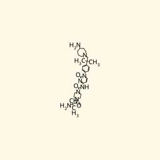 CC(C)(N)C(=O)N1CCN(C(=O)Nc2ccn(-c3ccc(C(C)(C)CN4CCCC(N)CC4)cc3)c(=O)n2)CC1